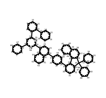 c1ccc(-c2cc(-c3ccccc3-c3ccccc3)nc(-c3ccc(-c4ccc(-c5cccc6c5-c5c(ccc7ccccc57)C6(c5ccccc5)c5ccccc5)cc4)c4ccccc34)n2)cc1